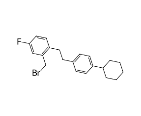 Fc1ccc(CCc2ccc(C3CCCCC3)cc2)c(CBr)c1